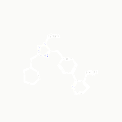 CCCCCn1nc(CC2CCCCC2)nc1Cc1ccc(-c2ncccc2C(=O)O)cc1